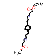 CCOC(=O)CC/C=C/CCc1ccc(CC/C=C/CCC(=O)OCC)cc1